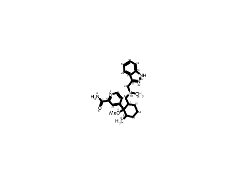 COC1(c2ccnc(C(N)=O)c2)C(C)CCCC1CN(C)Cc1n[nH]c2ccccc12